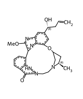 C=CC[C@@H](O)c1cc2c3nc(c(OC)nc3c1)-c1cccc3c(=O)n([nH]c13)CCN1CC(C[C@H]1C)O2